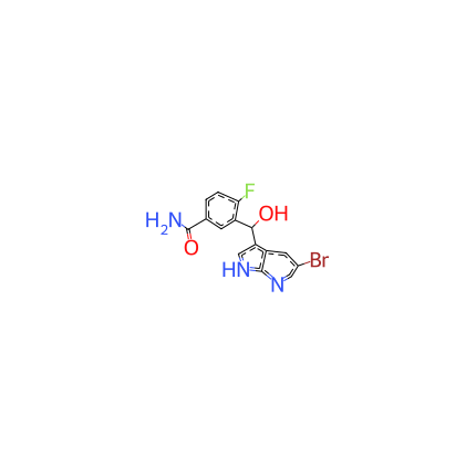 NC(=O)c1ccc(F)c(C(O)c2c[nH]c3ncc(Br)cc23)c1